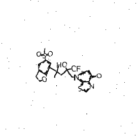 CC(C)(CC(O)(Cn1ccc(=O)c2ncsc21)C(F)(F)F)c1cc(S(C)(=O)=O)cc2c1OCC2